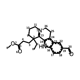 CCC1(CCC(=O)OC)CCC[N+]2=C1c1[nH]c3ccc(C=O)cc3c1CC2